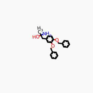 CC(N)(O)Cc1ccc(OCc2ccccc2)c(OCc2ccccc2)c1